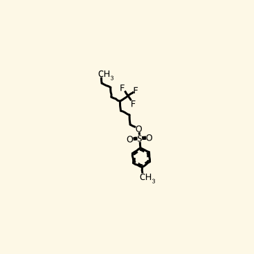 CCCCC(CCCOS(=O)(=O)c1ccc(C)cc1)C(F)(F)F